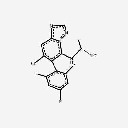 CC(C)[C@@H](C)Nc1c(-c2c(F)cc(F)cc2F)c(Cl)cc2ncnn12